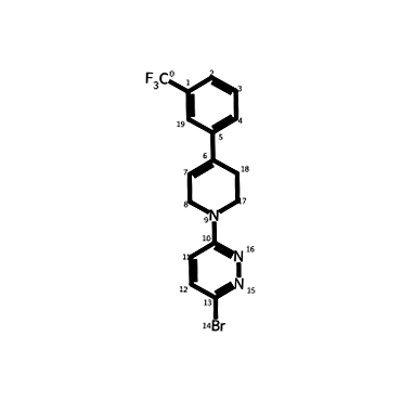 FC(F)(F)c1cccc(C2=CCN(c3ccc(Br)nn3)CC2)c1